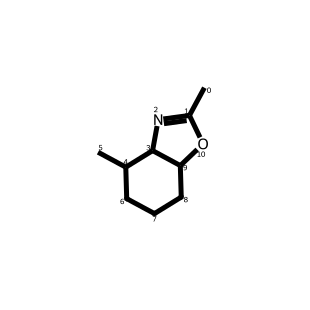 CC1=NC2C(C)CCCC2O1